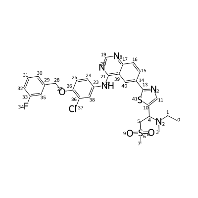 CCN(C)C(CS(C)(=O)=O)c1cnc(-c2ccc3ncnc(Nc4ccc(OCc5cccc(F)c5)c(Cl)c4)c3c2)s1